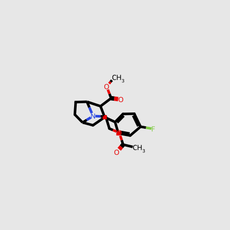 COC(=O)C1C(c2ccc(F)cc2)CC2CCC1N2CCOC(C)=O